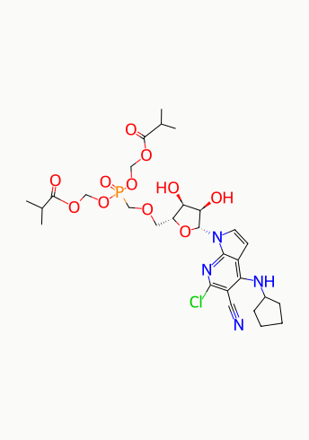 CC(C)C(=O)OCOP(=O)(COC[C@H]1O[C@@H](n2ccc3c(NC4CCCC4)c(C#N)c(Cl)nc32)[C@H](O)[C@@H]1O)OCOC(=O)C(C)C